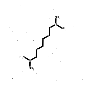 NN(N)CCCCCCN(N)N